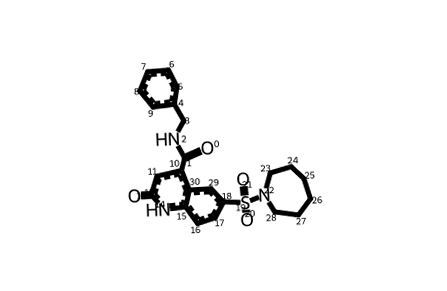 O=C(NCc1ccccc1)c1cc(=O)[nH]c2ccc(S(=O)(=O)N3CCCCCC3)cc12